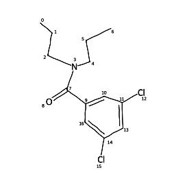 CCCN(CCC)C(=O)c1cc(Cl)cc(Cl)c1